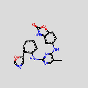 Cc1cnc(Nc2ccccc2-c2cnco2)nc1Nc1ccc2oc(=O)[nH]c2c1